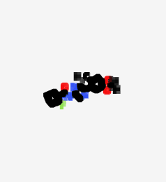 [2H]C1([2H])Oc2cc(C)c(-c3cnc(NC(=O)c4ccccc4F)cn3)cc2O1